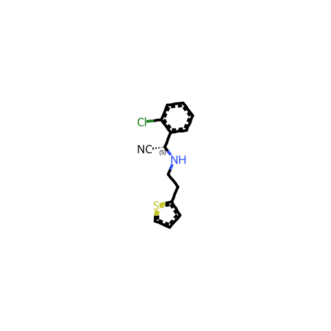 N#C[C@@H](NCCc1cccs1)c1ccccc1Cl